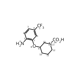 Nc1ccc(C(F)(F)F)cc1OC1CCCN(C(=O)O)C1